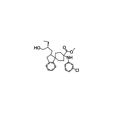 CC[C@H](CO)CC1Cc2ccccc2C12CCC(Nc1cccc(Cl)c1)(C(=O)OC)CC2